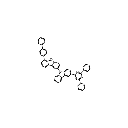 c1ccc(-c2ccc(-c3cccc4c3oc3ccc(-n5c6ccccc6c6cc(-c7nc(-c8ccccc8)nc(-c8ccccc8)n7)ccc65)cc34)cc2)cc1